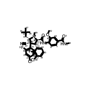 CNC(=O)c1ccc(NC(=O)[C@H]2[C@H](c3cccc(Cl)c3F)[C@@](C#N)(c3ccc(Cl)cc3F)[C@H](CC(C)(C)C)N2C)c(OC)c1